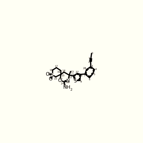 CC#Cc1cccc(-c2csc(C3(C)CC4(CCCS(=O)(=O)C4)OC(N)=N3)c2)c1